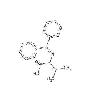 CC(C)C(N=C(c1ccccc1)c1ccccc1)C(=O)O